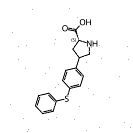 O=C(O)[C@@H]1CC(c2ccc(Sc3ccccc3)cc2)CN1